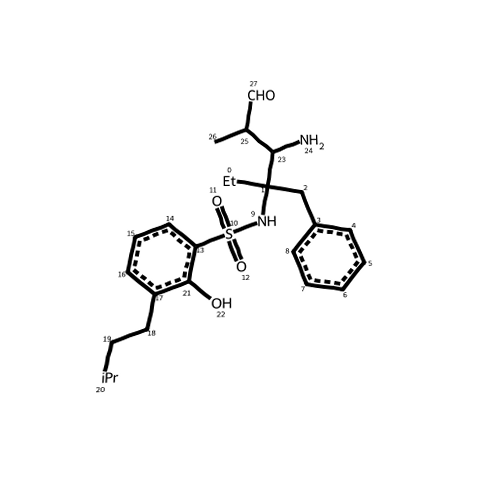 CCC(Cc1ccccc1)(NS(=O)(=O)c1cccc(CCC(C)C)c1O)[C](N)C(C)C=O